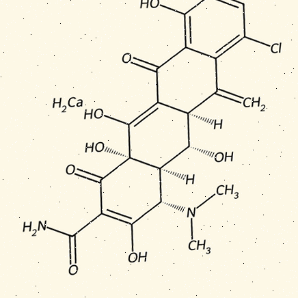 C=C1c2c(Cl)ccc(O)c2C(=O)C2=C(O)[C@]3(O)C(=O)C(C(N)=O)=C(O)[C@@H](N(C)C)[C@@H]3[C@@H](O)[C@H]12.[CaH2]